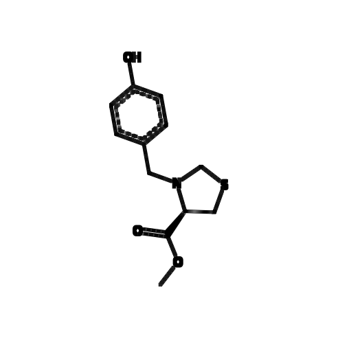 COC(=O)[C@@H]1CSCN1Cc1ccc(O)cc1